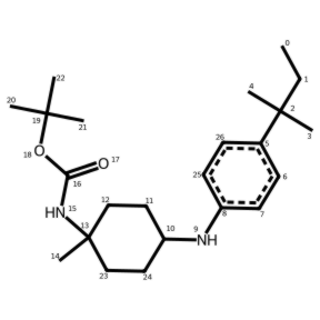 CCC(C)(C)c1ccc(NC2CCC(C)(NC(=O)OC(C)(C)C)CC2)cc1